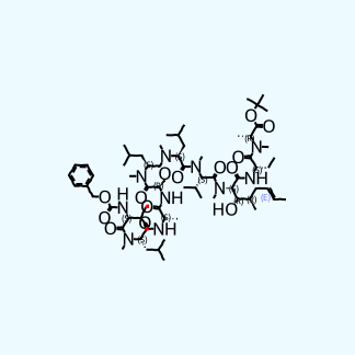 C/C=C/C[C@@H](C)[C@@H](O)[C@@H](C(=O)N[C@@H](CC)C(=O)N(C)[C@H](C)C(=O)OC(C)(C)C)N(C)C(=O)[C@H](C(C)C)N(C)C(=O)[C@H](CC(C)C)N(C)C(=O)[C@H](CC(C)C)N(C)C(=O)[C@@H](C)NC(=O)[C@H](C)NC(=O)[C@H](CC(C)C)N(C)C(=O)[C@@H](NC(=O)OCc1ccccc1)C(C)C